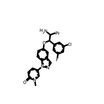 CC(C)C(N)C(Oc1ccc2c(cnn2-c2ccc(=O)n(C)c2)c1)c1cc(F)cc(Cl)c1